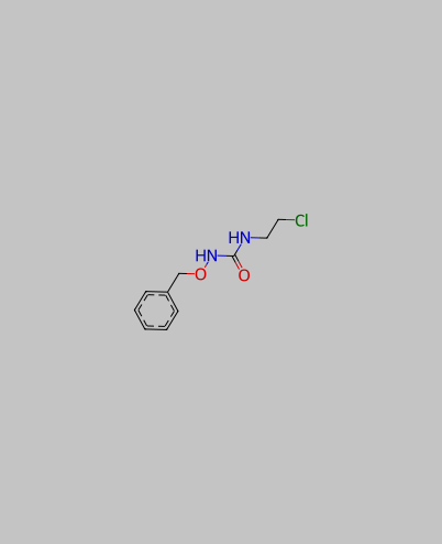 O=C(NCCCl)NOCc1ccccc1